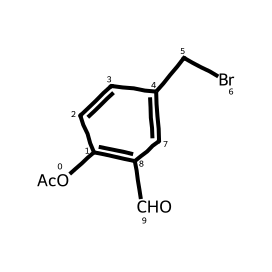 CC(=O)Oc1ccc(CBr)cc1C=O